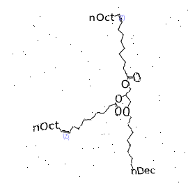 CCCCCCCC/C=C\CCCCCCCC(=O)OCC(COCCCCCCCCCCCCCCCCCC)OC(=O)CCCCCCC/C=C\CCCCCCCC